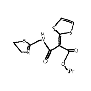 CC(C)OC(=O)C(C(=O)NC1=NCCS1)=C1SC=CS1